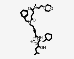 CC(C)C[C@H](O)[C@H](O)[C@@H](CC1CCCCC1)NC(=O)C#CCCN(Cc1ccccc1)C(=O)CCC(=O)N(C)CCN1CCOCC1